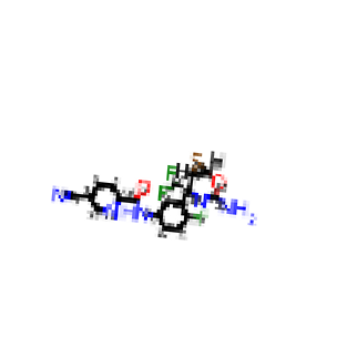 N#Cc1ccc(C(=O)Nc2ccc(F)c([C@@]3(C(F)F)N=C(N)O[C@@H]4S[C@@H]43)c2)nc1